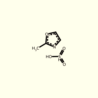 Cc1ncco1.O=[SH](=O)O